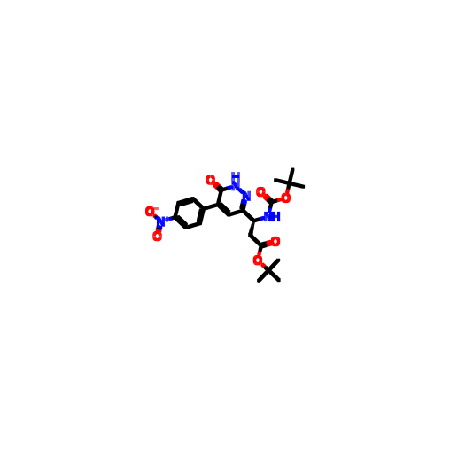 CC(C)(C)OC(=O)C[C@H](NC(=O)OC(C)(C)C)c1cc(-c2ccc([N+](=O)[O-])cc2)c(=O)[nH]n1